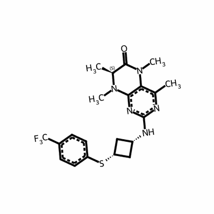 Cc1nc(N[C@H]2C[C@@H](Sc3ccc(C(F)(F)F)cc3)C2)nc2c1N(C)C(=O)[C@H](C)N2C